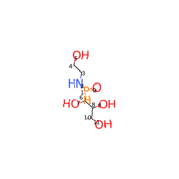 O=[PH](NCCO)C(O)C(O)CO